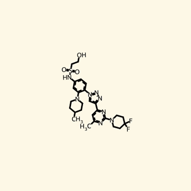 Cc1cc(-c2cn(-c3ccc(NS(=O)(=O)CCO)cc3N3CCC(C)CC3)nn2)nc(N2CCC(F)(F)CC2)n1